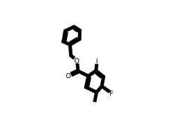 CC1C=C(C(=O)OCc2ccccc2)C(I)=CC1F